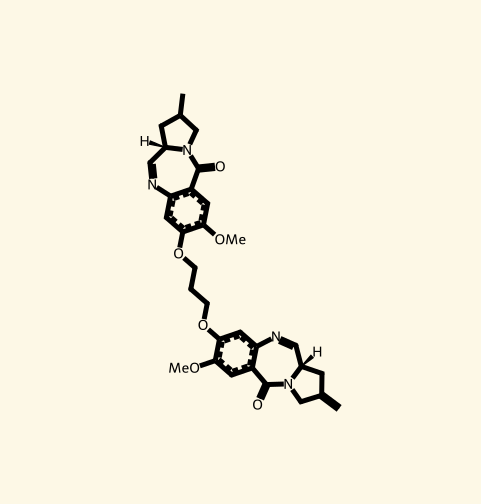 C=C1C[C@H]2C=Nc3cc(OCCCOc4cc5c(cc4OC)C(=O)N4CC(C)C[C@H]4C=N5)c(OC)cc3C(=O)N2C1